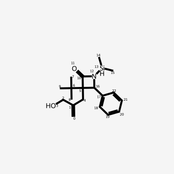 C=C(CO)CC1(C(C)(C)C)C(=O)N([SiH](C)C)C1c1ccccc1